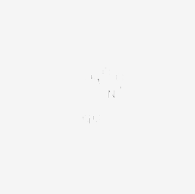 COC(=O)[C@@H]1C[C@@H](O[Si](C)(C)C(C)(C)C)CN1C(C)=O